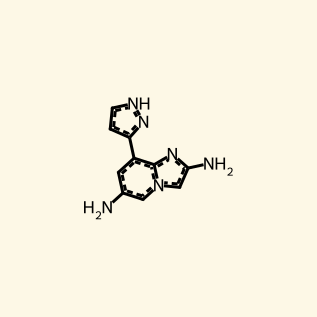 Nc1cc(-c2cc[nH]n2)c2nc(N)cn2c1